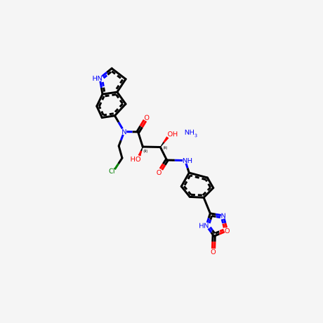 N.O=C(Nc1ccc(-c2noc(=O)[nH]2)cc1)[C@H](O)[C@@H](O)C(=O)N(CCCl)c1ccc2[nH]ccc2c1